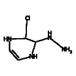 NNC1NC=CNC1Cl